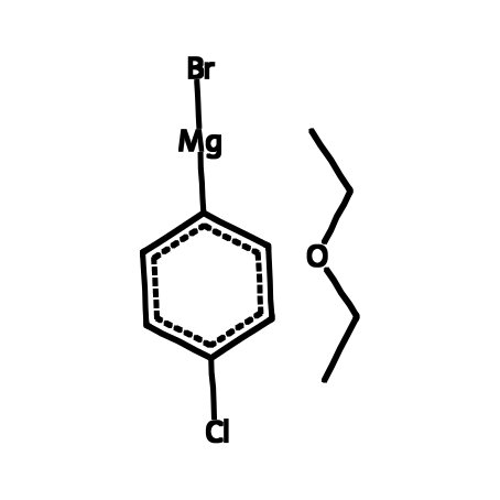 CCOCC.Clc1cc[c]([Mg][Br])cc1